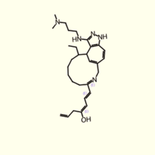 C=CC\C(O)=C/C=C/C1=N/CC2=CC(c3c(NCCCN(C)C)n[nH]c3C=C2)C(CC)CCCCC1